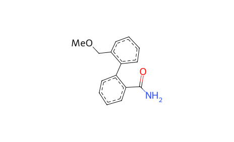 COCc1ccccc1-c1ccccc1C(N)=O